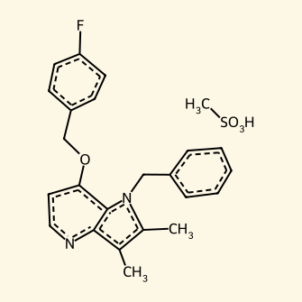 CS(=O)(=O)O.Cc1c(C)n(Cc2ccccc2)c2c(OCc3ccc(F)cc3)ccnc12